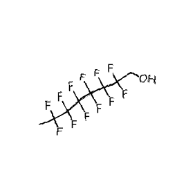 CC(F)(F)C(F)(F)C(F)(F)C(F)(F)C(F)(F)C(F)(F)CO